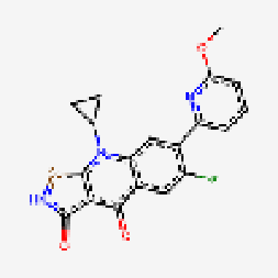 COc1cccc(-c2cc3c(cc2F)c(=O)c2c(=O)[nH]sc2n3C2CC2)n1